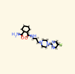 NC(=O)C1CCCCC1C(=O)NCCCN1CCN(c2ncc(F)cn2)CC1